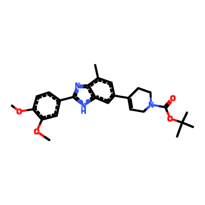 COc1ccc(-c2nc3c(C)cc(C4=CCN(C(=O)OC(C)(C)C)CC4)cc3[nH]2)cc1OC